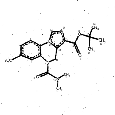 Cc1ccc2c(c1)N(C(=O)N(C)C)Cc1c(C(=O)OC(C)(C)C)ncn1-2